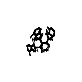 Cc1cccc2nc(-c3nnnc(-c4nc5cccc(C)c5[nH]4)c3-c3nc4cccc(C)c4[nH]3)[nH]c12